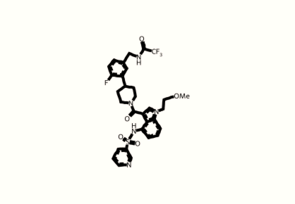 COCCn1cc(C(=O)N2CCC(c3cc(CNC(=O)C(F)(F)F)ccc3F)CC2)c2c(NS(=O)(=O)c3cccnc3)cccc21